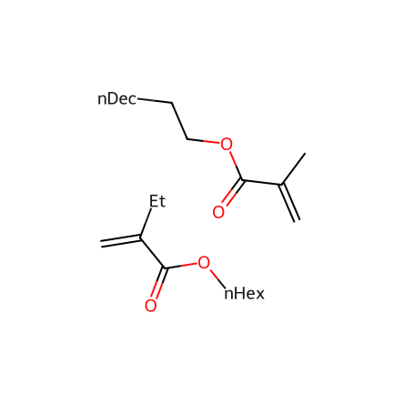 C=C(C)C(=O)OCCCCCCCCCCCC.C=C(CC)C(=O)OCCCCCC